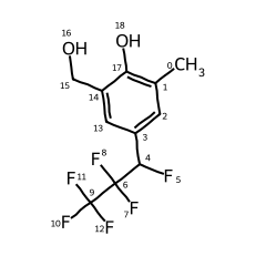 Cc1cc(C(F)C(F)(F)C(F)(F)F)cc(CO)c1O